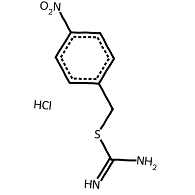 Cl.N=C(N)SCc1ccc([N+](=O)[O-])cc1